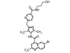 Cc1nn(Cc2ccc(C(=O)NCCCO)cn2)c(C)c1NC(=O)c1cc(C(F)(F)F)nc2ccc(Br)cc12